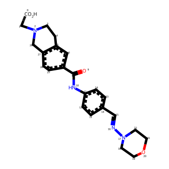 O=C(O)CN1CCc2cc(C(=O)Nc3ccc(C=NN4CCOCC4)cc3)ccc2C1